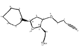 N#CCCOC1C[C@H](C2CCCCC2)O[C@@H]1CO